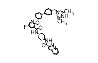 C[C@@H]1CN(Cc2ccc(-c3cccc(Oc4ncc(F)cc4C(=O)N[C@H]4CC[C@H](NC(=O)c5cc6ccccn6n5)CC4)c3)cc2)C[C@H](C)N1